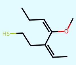 C/C=C(CCS)\C(=C/CC)OC